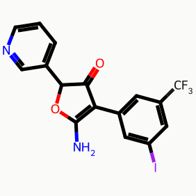 NC1=C(c2cc(I)cc(C(F)(F)F)c2)C(=O)C(c2cccnc2)O1